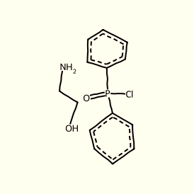 NCCO.O=P(Cl)(c1ccccc1)c1ccccc1